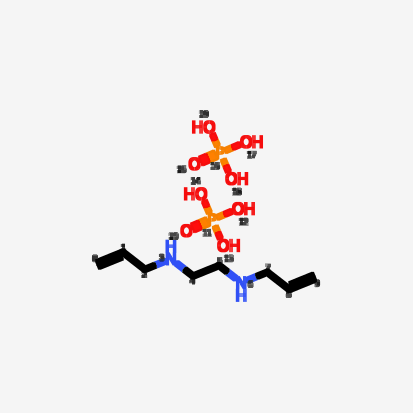 C=CCNCCNCC=C.O=P(O)(O)O.O=P(O)(O)O